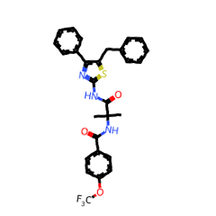 CC(C)(NC(=O)c1ccc(OC(F)(F)F)cc1)C(=O)Nc1nc(-c2ccccc2)c(Cc2ccccc2)s1